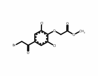 COC(=O)COc1c(Cl)cc(C(=O)CBr)cc1Cl